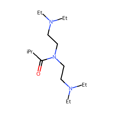 CCN(CC)CCN(CCN(CC)CC)C(=O)C(C)C